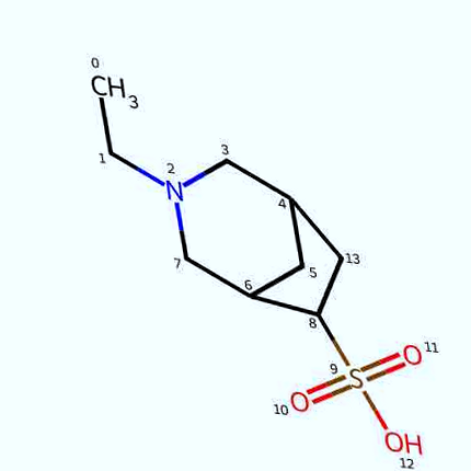 CCN1CC2CC(C1)C(S(=O)(=O)O)C2